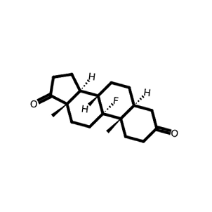 C[C@]12CCC(=O)C[C@@H]1CC[C@H]1[C@@H]3CCC(=O)[C@@]3(C)CC[C@@]12F